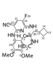 COc1ccc(Nc2nc(N[C@H](C3CCC3)[C@H](C)NC(=O)O)c(F)cc2C#N)cc1OC